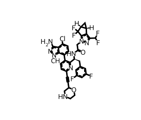 Cn1nc(N)c2c(Cl)ccc(-c3ccc(C#CC4CNCCO4)nc3[C@H](Cc3cc(F)cc(F)c3)NC(=O)Cn3nc(C(F)F)c4c3C(F)(F)[C@@H]3C[C@H]43)c21